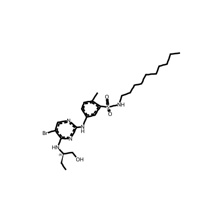 CCCCCCCCCCNS(=O)(=O)c1cc(Nc2ncc(Br)c(N[C@H](CC)CO)n2)ccc1C